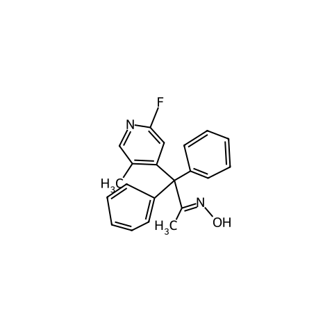 CC(=NO)C(c1ccccc1)(c1ccccc1)c1cc(F)ncc1C